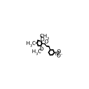 COc1cc(C)cc(OC)c1C(=O)/C=C/c1cccc([N+](=O)[O-])c1